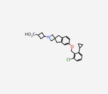 O=C(O)C1CC(N2CC3(Cc4ccc(OCc5c(Cl)cccc5C5CC5)cc4C3)C2)C1